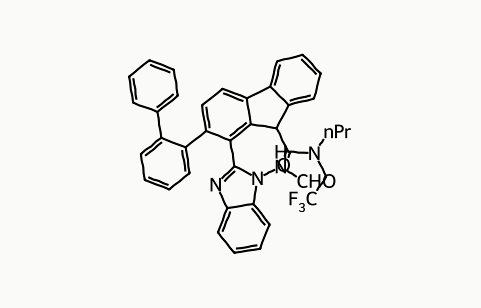 CCCN(CC(F)(F)F)C(=O)C1c2ccccc2-c2ccc(-c3ccccc3-c3ccccc3)c(-c3nc4ccccc4n3NC=O)c21